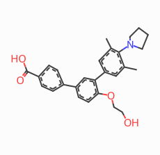 Cc1cc(-c2cc(-c3ccc(C(=O)O)cc3)ccc2OCCO)cc(C)c1N1CCCC1